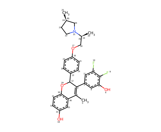 CC1=C(c2cc(O)c(F)c(F)c2)C(c2ccc(OC[C@H](C)N3CC[C@@H](C)C3)cc2)Oc2ccc(O)cc21